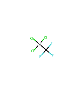 FC(F)(F)[Si](Cl)(Cl)Cl